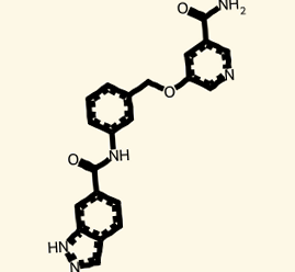 NC(=O)c1cncc(OCc2cccc(NC(=O)c3ccc4cn[nH]c4c3)c2)c1